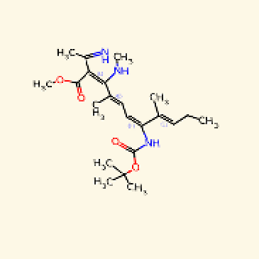 CC/C=C(C)/C(=C\C=C(C)\C(NC)=C(\C(C)=N)C(=O)OC)NC(=O)OC(C)(C)C